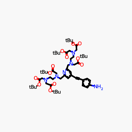 CC(C)(C)OC(=O)CN(CCN(CC(=O)OC(C)(C)C)Cc1cc(C#Cc2ccc(N)cc2)cc(CN(CCN(CC(=O)OC(C)(C)C)CC(=O)OC(C)(C)C)CC(=O)OC(C)(C)C)n1)CC(=O)OC(C)(C)C